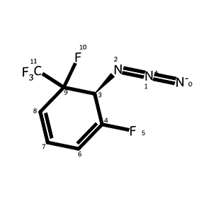 [N-]=[N+]=N[C@H]1C(F)=CC=CC1(F)C(F)(F)F